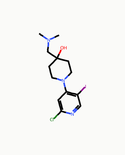 CN(C)CC1(O)CCN(c2cc(Cl)ncc2I)CC1